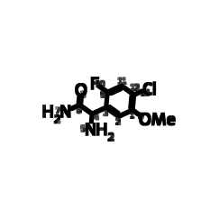 COc1cc(C(N)C(N)=O)c(F)cc1Cl